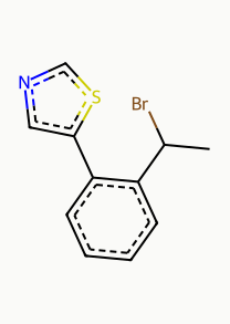 CC(Br)c1ccccc1-c1cncs1